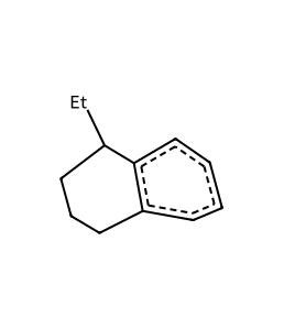 [CH2]CC1CCCc2ccccc21